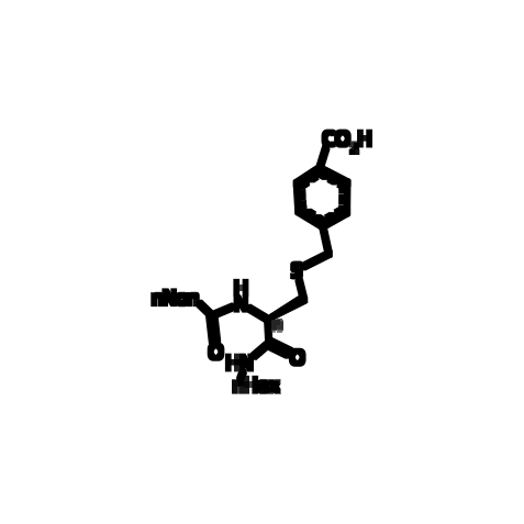 CCCCCCCCCC(=O)N[C@@H](CSCc1ccc(C(=O)O)cc1)C(=O)NCCCCCC